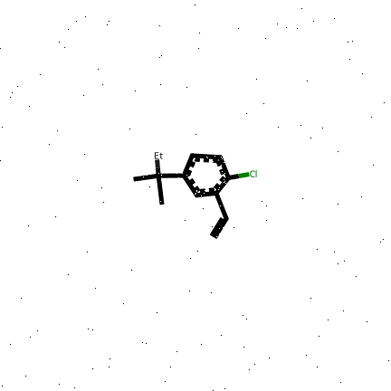 C=Cc1cc(C(C)(C)CC)ccc1Cl